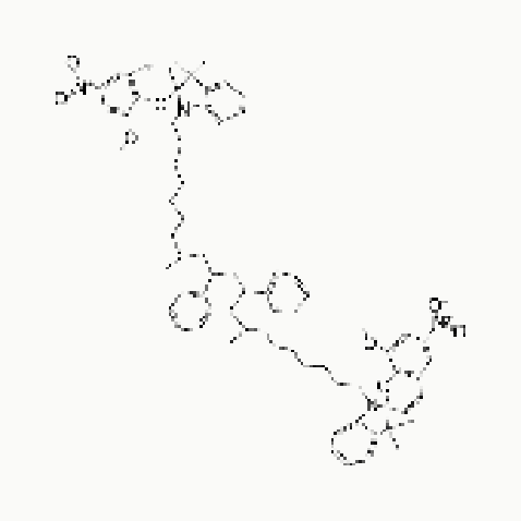 COc1cc([N+](=O)[O-])cc2c1OC1(C=C2)N(CCCCCCCC(C)CC(CC(CC(C)CCCCCCCN2c3ccccc3C(C)(C)C23C=Cc2cc([N+](=O)[O-])cc(OC)c2O3)c2ccccc2)c2ccccc2)c2ccccc2C1(C)C